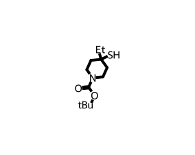 CCC1(S)CCN(C(=O)OC(C)(C)C)CC1